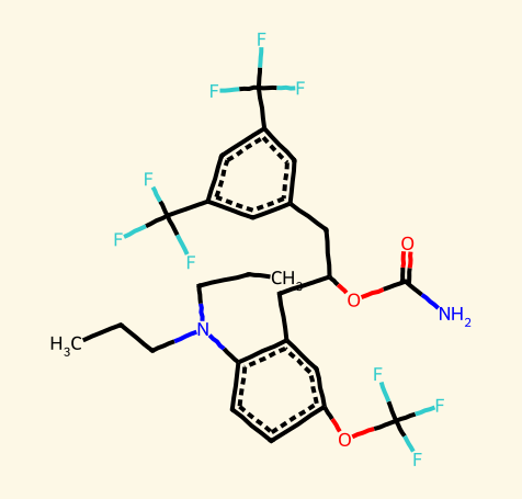 CCCN(CCC)c1ccc(OC(F)(F)F)cc1CC(Cc1cc(C(F)(F)F)cc(C(F)(F)F)c1)OC(N)=O